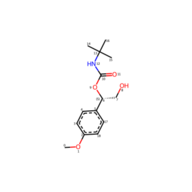 COc1ccc([C@@H](CO)OC(=O)NC(C)(C)C)cc1